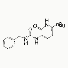 CCCCc1ccc(NC(=O)NCc2ccccc2)c(=O)[nH]1